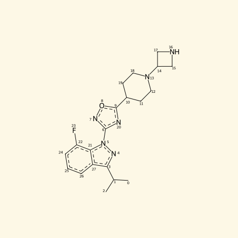 CC(C)c1nn(-c2noc(C3CCN(C4CNC4)CC3)n2)c2c(F)cccc12